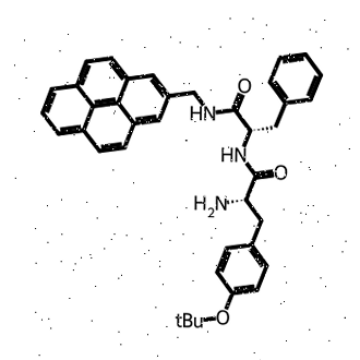 CC(C)(C)Oc1ccc(C[C@H](N)C(=O)N[C@@H](Cc2ccccc2)C(=O)NCc2cc3ccc4cccc5ccc(c2)c3c45)cc1